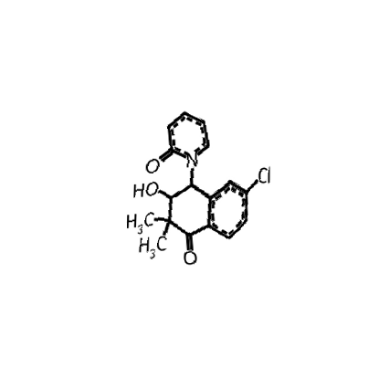 CC1(C)C(=O)c2ccc(Cl)cc2C(n2ccccc2=O)C1O